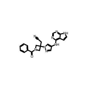 N#CCC1(n2cc(Nc3ncnc4[nH]ccc34)cn2)CN(C(=O)c2ccccc2)C1